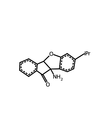 CC(C)c1ccc2c(c1)OC1c3ccccc3C(=O)C21N